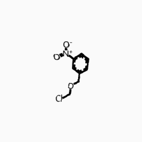 O=[N+]([O-])c1cccc(COCCl)c1